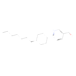 CCCCCCC[C@H]1CC[C@H](c2ccc(C=O)cn2)CC1